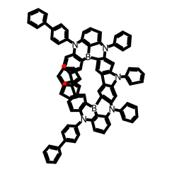 c1ccc(-c2ccc(N3c4ccc(-c5ccccc5)cc4B4c5cc6c7cc8c(cc7n(-c7ccccc7)c6cc5N(c5ccccc5)c5cccc3c54)N(c3ccccc3)c3cccc4c3B8c3cc(-c5ccccc5)ccc3N4c3ccc(-c4ccccc4)cc3)cc2)cc1